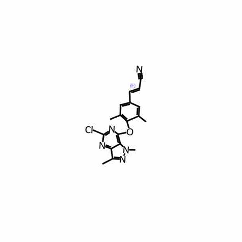 Cc1cc(/C=C/C#N)cc(C)c1Oc1nc(Cl)nc2c(C)nn(C)c12